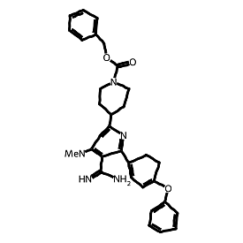 CNc1cc(C2CCN(C(=O)OCc3ccccc3)CC2)nc(C2=CC=C(Oc3ccccc3)CC2)c1C(=N)N